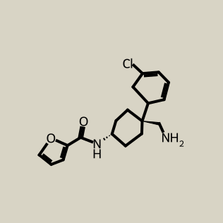 NC[C@]1(C2C=CC=C(Cl)C2)CC[C@@H](NC(=O)c2ccco2)CC1